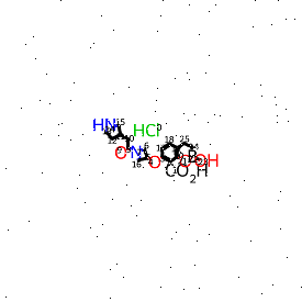 Cl.O=C(O)c1c(OC2CN(C(=O)CC3CCNC3)C2)ccc2c1OB(O)CC2